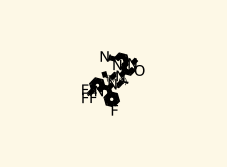 CC[C@@H]1CN(c2cc(=O)n(C)c3ccc(C#N)nc23)[C@@H](C)CN1C(c1ccc(F)cc1)c1cccc(C(F)(F)F)n1